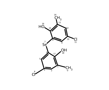 Cc1cc(Cl)cc([Se]c2cc(Cl)cc(C)c2O)c1O